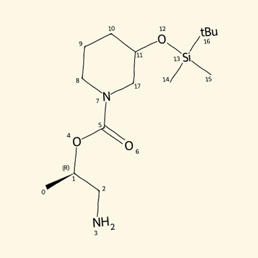 C[C@H](CN)OC(=O)N1CCCC(O[Si](C)(C)C(C)(C)C)C1